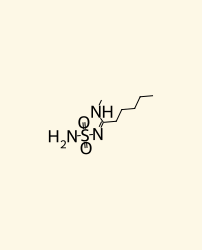 CCCCC/C(=N/S(N)(=O)=O)NC